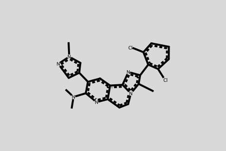 Cc1c(-c2c(Cl)cccc2Cl)nc2c3cc(-c4cnn(C)c4)c(N(C)C)nc3ccn12